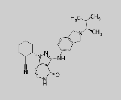 CC(C)[C@@H](C)N1Cc2ccc(Nc3nn([C@H]4CCCCC4C#N)c4cc[nH]c(=O)c34)cc2C1